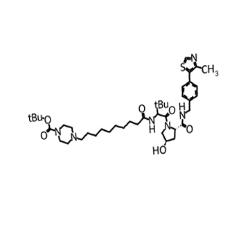 Cc1ncsc1-c1ccc(CNC(=O)[C@@H]2C[C@@H](O)CN2C(=O)C(NC(=O)CCCCCCCCCN2CCN(C(=O)OC(C)(C)C)CC2)C(C)(C)C)cc1